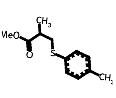 COC(=O)C(C)CSc1ccc(C)cc1